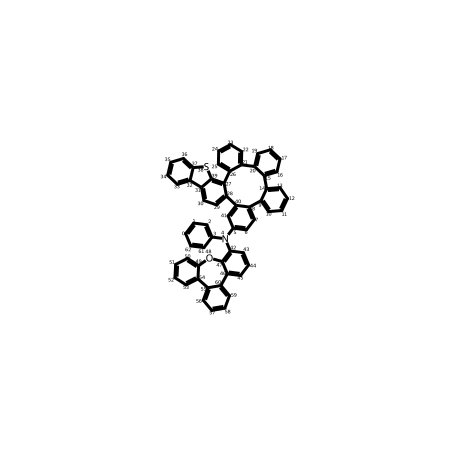 c1ccc(N(c2ccc3c4ccccc4c4ccccc4c4ccccc4c4c(ccc5c6ccccc6sc54)c3c2)c2cccc3c2Oc2ccccc2-c2ccccc2-3)cc1